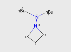 CCCCN(CCCC)N1CCC1